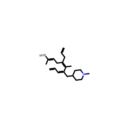 C=C/C=C(CC1CCN(C)CC1)\C(C)=C(\CC=C)C/C=C(\C)NC